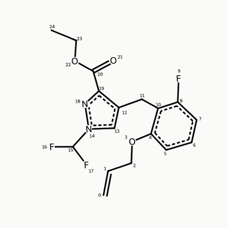 C=CCOc1cccc(F)c1Cc1cn(C(F)F)nc1C(=O)OCC